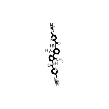 Cc1c(NC(=O)c2ccc(CN=[N+]=[N-])cn2)cccc1-c1cccc(NC(=O)c2ccc(CN=[N+]=[N-])cn2)c1C